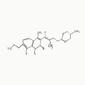 CCCc1ccc2c(c1F)C(F)C(F)C(/C(F)=C(\C)CCC1OCC(C)CO1)=C2C